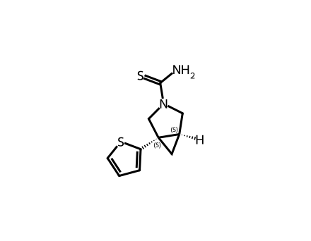 NC(=S)N1C[C@H]2C[C@@]2(c2cccs2)C1